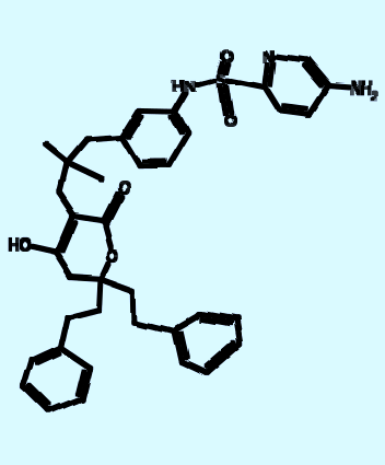 CC(C)(CC1=C(O)CC(CCc2ccccc2)(CCc2ccccc2)OC1=O)Cc1cccc(NS(=O)(=O)c2ccc(N)cn2)c1